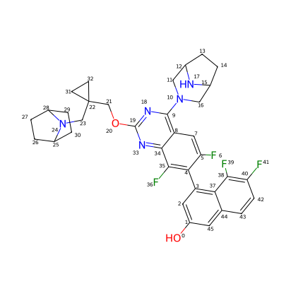 Oc1cc(-c2c(F)cc3c(N4CC5CCC(C4)N5)nc(OCC4(CN5C6CCC5CC6)CC4)nc3c2F)c2c(F)c(F)ccc2c1